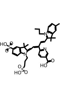 CCC[N+]1=C(/C=C/C(=C/C=C2/N(CCCS(=O)(=O)O)c3ccc(S(=O)(=O)O)cc3C2(C)C)c2ccc(C(=O)O)cn2)C(C)(C)c2cc(C)ccc21